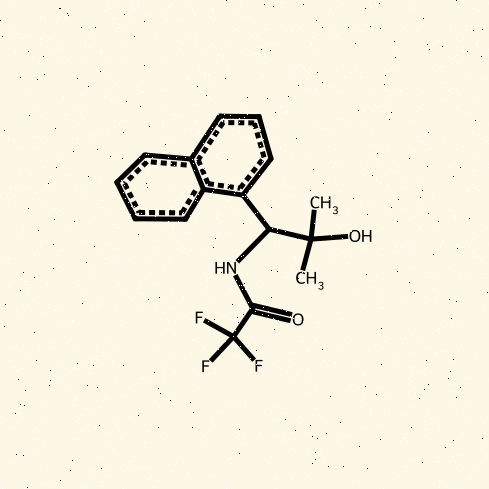 CC(C)(O)C(NC(=O)C(F)(F)F)c1cccc2ccccc12